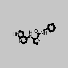 O=C(NCc1ccccc1)c1sccc1Nc1ccnc2[nH]ccc12